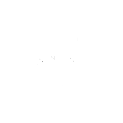 C=C/C=C\c1nc(I)c(O)n1N